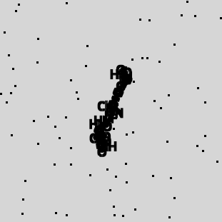 CC(C)(c1ccc(OCc2ccnc(NS(C)(=O)=O)n2)cc1)c1cc(Cl)c(OCC(F)(F)CNC(=O)Nc2ccc3c(c2)C(=O)N(C2CCC(=O)NC2=O)C3=O)c(C#N)c1